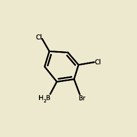 Bc1cc(Cl)cc(Cl)c1Br